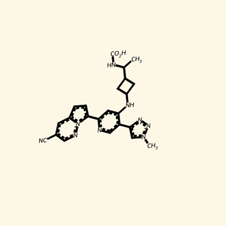 CC(NC(=O)O)C1CC(Nc2cc(-c3ccc4cc(C#N)cnn34)ncc2-c2cn(C)nn2)C1